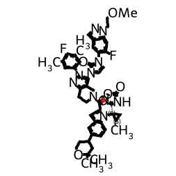 COCCn1ncc2cc(-n3ccn(-c4c5c(nn4-c4cc(C)c(F)c(C)c4)CCN(C(=O)c4cc6cc(C7CCOC(C)(C)C7)ccc6n4[C@@]4(c6noc(=O)[nH]6)C[C@@H]4C)C5)c3=O)c(F)cc21